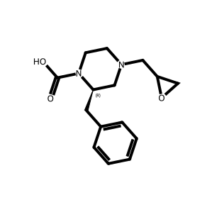 O=C(O)N1CCN(CC2CO2)C[C@H]1Cc1ccccc1